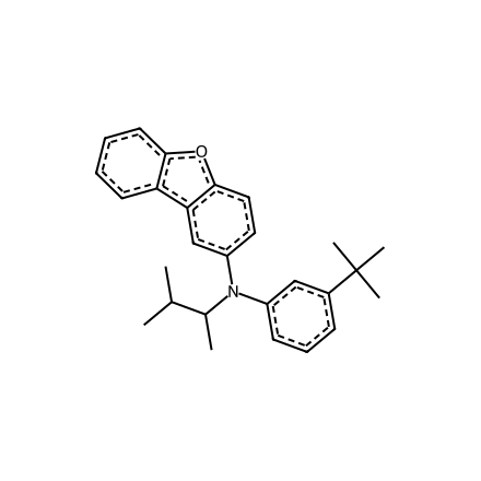 CC(C)C(C)N(c1cccc(C(C)(C)C)c1)c1ccc2oc3ccccc3c2c1